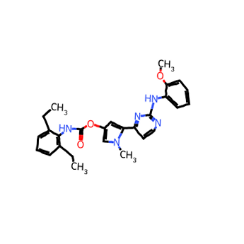 CCc1cccc(CC)c1NC(=O)Oc1cc(-c2ccnc(Nc3ccccc3OC)n2)n(C)c1